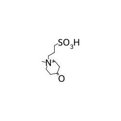 C[N+]1(CCCS(=O)(=O)O)CCC(=O)CC1